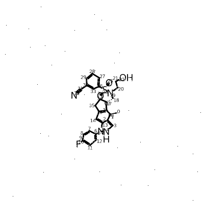 C[C@H]1C2=CNN(c3ccc(F)cc3)C2=CC2=C1[C@@H](CN(CCO)S(=O)(=O)c1cccc(C#N)c1)CC2